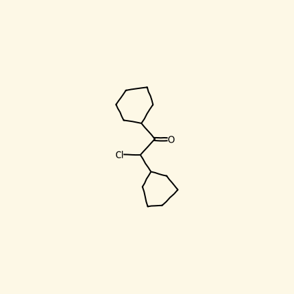 O=C(C1CCCCC1)C(Cl)C1CCCCC1